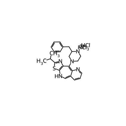 CC(C)c1nc2c(s1)NC=c1cccnc1=C2N1CCN(C)C(Cc2ccccc2)C1.Cl.Cl